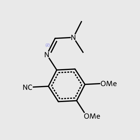 COc1cc(C#N)c(/N=C\N(C)C)cc1OC